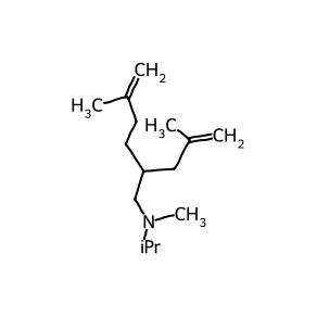 C=C(C)CCC(CC(=C)C)CN(C)C(C)C